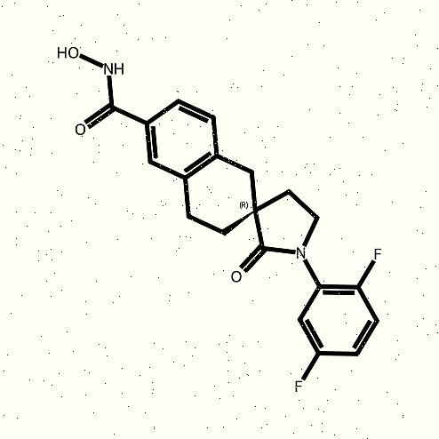 O=C(NO)c1ccc2c(c1)CC[C@]1(CCN(c3cc(F)ccc3F)C1=O)C2